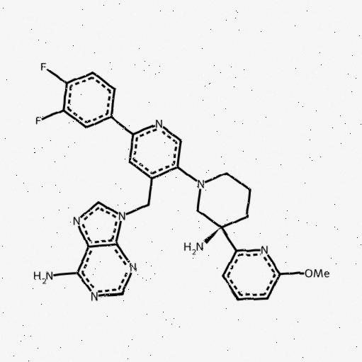 COc1cccc([C@@]2(N)CCCN(c3cnc(-c4ccc(F)c(F)c4)cc3Cn3cnc4c(N)ncnc43)C2)n1